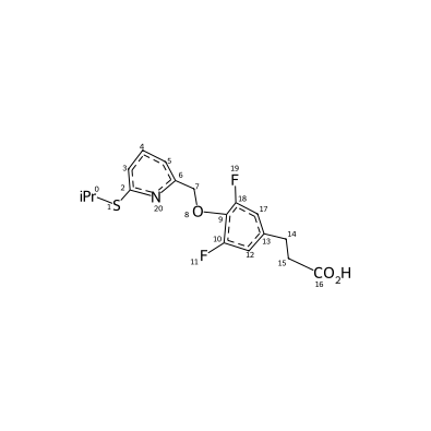 CC(C)Sc1cccc(COc2c(F)cc(CCC(=O)O)cc2F)n1